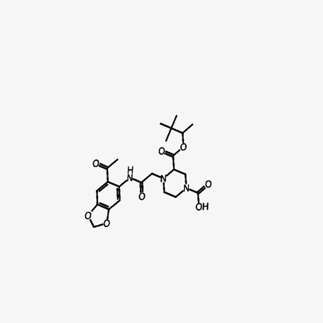 CC(=O)c1cc2c(cc1NC(=O)CN1CCN(C(=O)O)CC1C(=O)OC(C)C(C)(C)C)OCO2